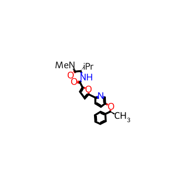 CNC(=O)[C@@H](NC(=O)c1ccc(-c2ccc(O[C@@H](C)c3ccccc3)cn2)o1)C(C)C